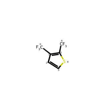 FC(F)(F)c1c[c]sc1C(F)(F)F